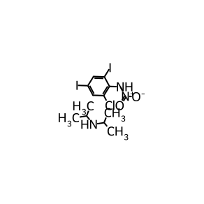 CC(C)NC(C)C.O=[N+]([O-])Nc1c(Cl)cc(I)cc1I